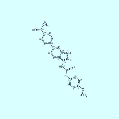 COc1ccc(CC(=O)Nc2n[nH]c3cc(-c4ccc(C(C)=O)cc4)ccc23)cc1